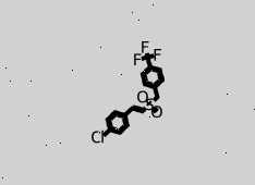 O=S(=O)(/C=C/c1ccc(Cl)cc1)Cc1ccc(C(F)(F)F)cc1